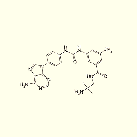 CC(C)(N)CNC(=O)c1cc(NC(=O)Nc2ccc(-n3cnc4c(N)ncnc43)cc2)cc(C(F)(F)F)c1